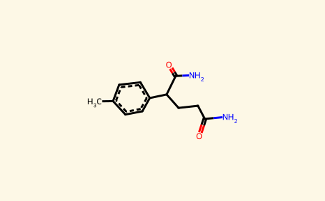 Cc1ccc(C(CCC(N)=O)C(N)=O)cc1